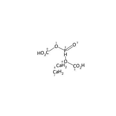 O=C(O)O[PH](=O)OC(=O)O.[CaH2].[CaH2]